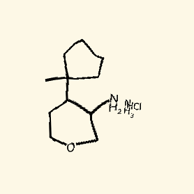 CC1(C2CCOCC2N)CCCC1.Cl.N